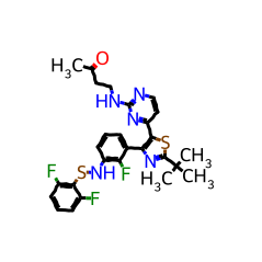 CC(=O)CCNc1nccc(-c2sc(C(C)(C)C)nc2-c2cccc(NSc3c(F)cccc3F)c2F)n1